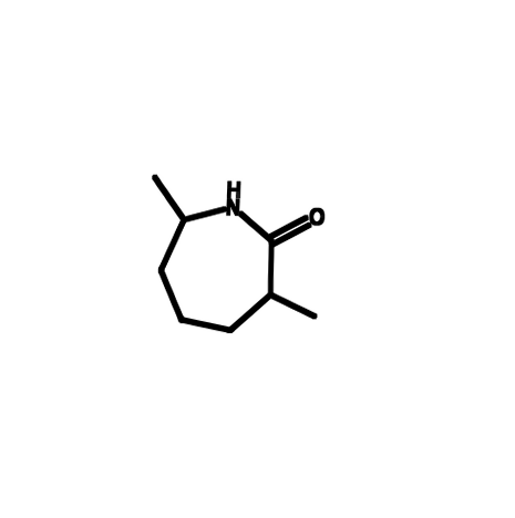 CC1CCCC(C)C(=O)N1